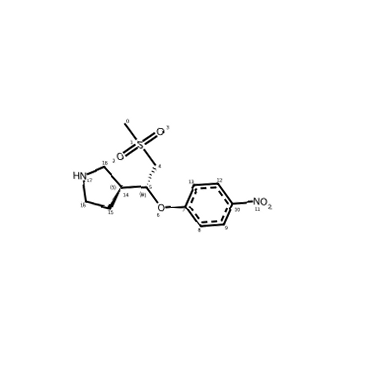 CS(=O)(=O)C[C@H](Oc1ccc([N+](=O)[O-])cc1)[C@H]1CCNC1